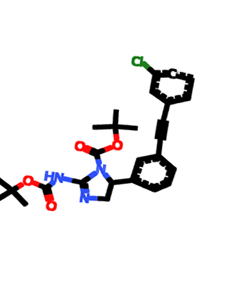 CC(C)(C)OC(=O)NC1=NCC(c2cccc(C#Cc3cccc(Cl)c3)c2)N1C(=O)OC(C)(C)C